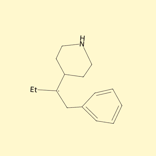 CC[C](Cc1ccccc1)C1CCNCC1